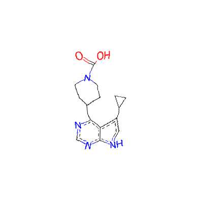 O=C(O)N1CCC(c2ncnc3[nH]cc(C4CC4)c23)CC1